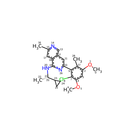 COc1cc(OC)c(Cl)c(-c2cc3cnc(C)cc3c(N[C@@H](C)C3CC3)n2)c1C